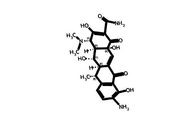 C[C@H]1c2ccc(N)c(O)c2C(=O)C2=C[C@]3(O)C(=O)C(C(N)=O)=C(O)[C@@H](N(C)C)[C@@H]3[C@@H](O)[C@@H]21